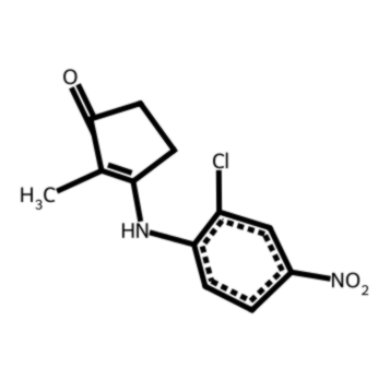 CC1=C(Nc2ccc([N+](=O)[O-])cc2Cl)CCC1=O